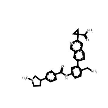 CN1CCC(c2ccc(C(=O)Nc3ccc(CN)c(-c4ccc5cc(C6(C(N)=O)CC6)ncc5c4)c3)cc2)C1